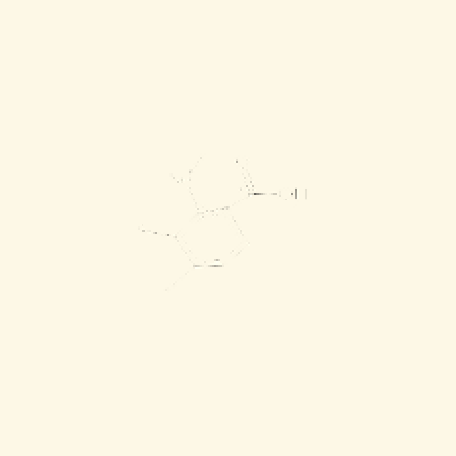 C[Se]c1c(C(=O)O)ccc(C)c1C